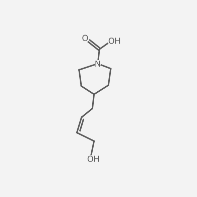 O=C(O)N1CCC(C/C=C\CO)CC1